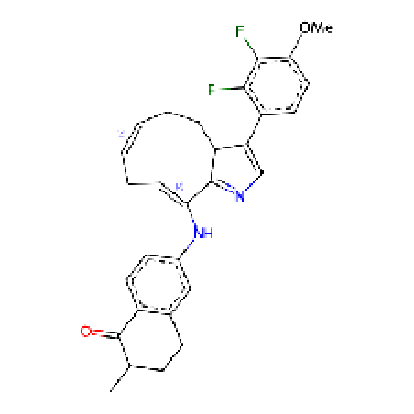 COc1ccc(C2=CN=C3/C(Nc4ccc5c(c4)CCC(C)C5=O)=C/C/C=C\CCC23)c(F)c1F